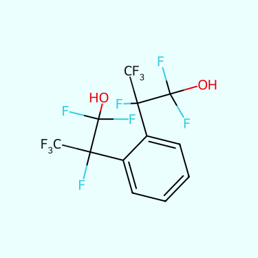 OC(F)(F)C(F)(c1ccccc1C(F)(C(O)(F)F)C(F)(F)F)C(F)(F)F